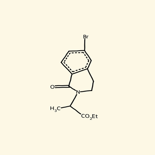 CCOC(=O)C(C)N1CCc2cc(Br)ccc2C1=O